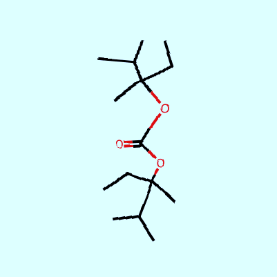 CCC(C)(OC(=O)OC(C)(CC)C(C)C)C(C)C